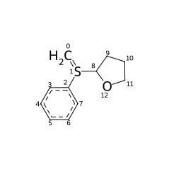 C=S(c1ccccc1)C1CCCO1